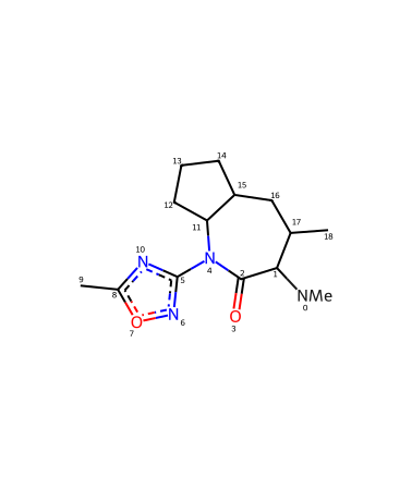 CNC1C(=O)N(c2noc(C)n2)C2CCCC2CC1C